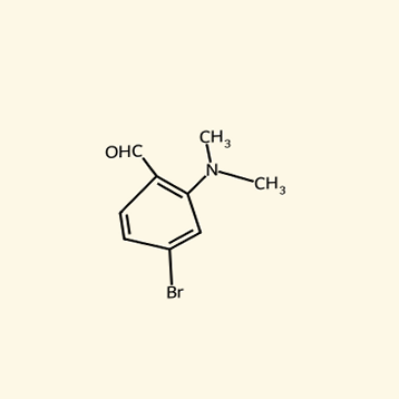 CN(C)c1cc(Br)ccc1C=O